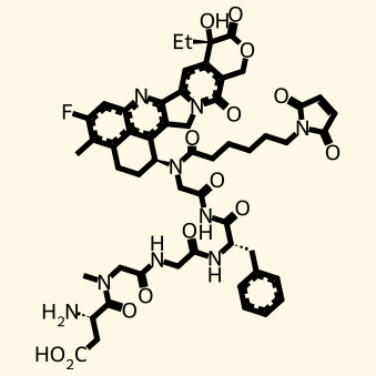 CC[C@@]1(O)C(=O)OCc2c1cc1n(c2=O)Cc2c-1nc1cc(F)c(C)c3c1c2[C@@H](N(CC(=O)NC(=O)[C@H](Cc1ccccc1)NC(=O)CNC(=O)CN(C)C(=O)[C@@H](N)CC(=O)O)C(=O)CCCCCN1C(=O)C=CC1=O)CC3